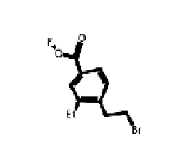 CCc1cc(C(=O)OF)ccc1CCBr